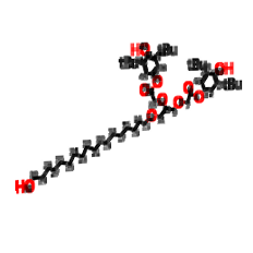 CC(C)(C)c1cc(OC(=O)COCC(COCCCCCCCCCCCCCCCCCCO)OCC(=O)Oc2cc(C(C)(C)C)c(O)c(C(C)(C)C)c2)cc(C(C)(C)C)c1O